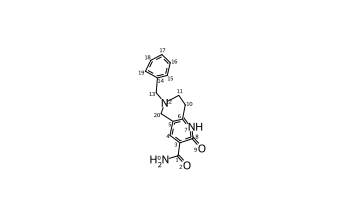 NC(=O)c1cc2c([nH]c1=O)CCN(Cc1ccccc1)C2